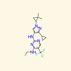 CCNc1nc(Nc2cn(C3CC3(C)C)nc2C2CC2)ncc1C(F)(F)F